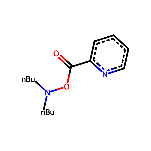 CCCCN(CCCC)OC(=O)c1ccccn1